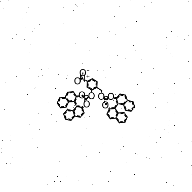 O=[N+]([O-])c1ccc(COp2oc3ccc4ccccc4c3c3c(ccc4ccccc43)o2)c(Op2oc3ccc4ccccc4c3c3c(ccc4ccccc43)o2)c1